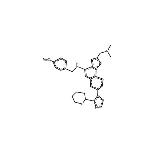 COc1ccc(CNc2cc3cc(-c4ccnn4C4CCCCO4)ccc3n3cc(CN(C)C)cc23)cc1